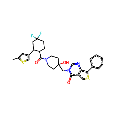 Cc1cc(C2CC(F)(F)CCC2C(=O)N2CCC(O)(Cn3cnc4c(-c5ccccc5)scc4c3=O)CC2)cs1